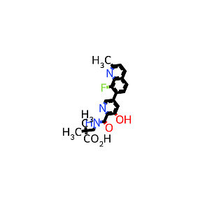 Cc1ccc2ccc(-c3cnc(C(=O)NCC(C)(C)C(=O)O)c(O)c3)c(F)c2n1